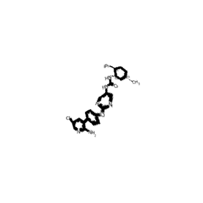 CC(C)[C@H]1CC[C@H](C)C[C@@H]1NC(=O)Nc1cnc(Oc2ccc(-c3cc(Cl)cnc3N)cc2)nc1